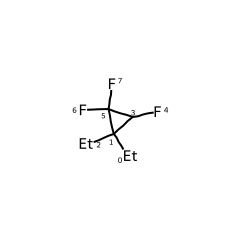 CCC1(CC)C(F)C1(F)F